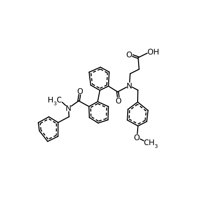 COc1ccc(CN(CCC(=O)O)C(=O)c2ccccc2-c2ccccc2C(=O)N(C)Cc2ccccc2)cc1